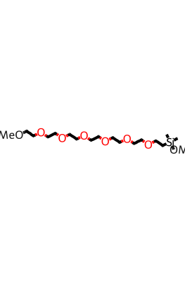 COCCOCCOCCOCCOCCOCCOCC[Si](C)(C)OC